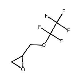 FC(F)(F)C(F)(F)OCC1CO1